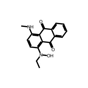 CCN(O)c1ccc(NC)c2c1C(=O)c1ccccc1C2=O